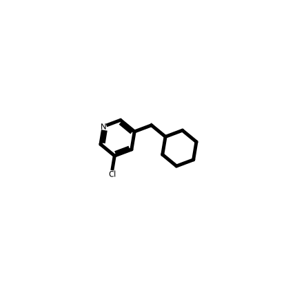 Clc1cncc([CH]C2CCCCC2)c1